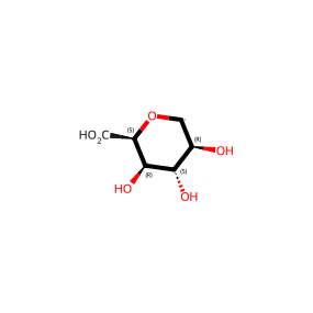 O=C(O)[C@H]1O[CH][C@@H](O)[C@H](O)[C@H]1O